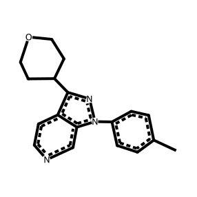 Cc1ccc(-n2nc(C3CCOCC3)c3ccncc32)cc1